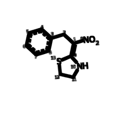 O=[N+]([O-])C(Cc1ccccc1)=C1NCCS1